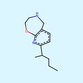 CCCC(C)c1ccc2c(n1)OCCNC2